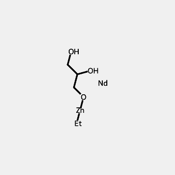 C[CH2][Zn][O]CC(O)CO.[Nd]